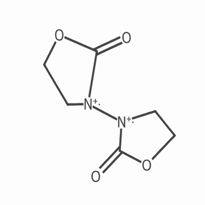 O=C1OCC[N+]1[N+]1CCOC1=O